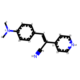 CN(C)c1ccc(C=C(C#N)c2ccncc2)cc1